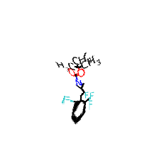 CC(C)(C)OC(=O)N1CC(CCc2c(F)cccc2C(F)(F)F)C1